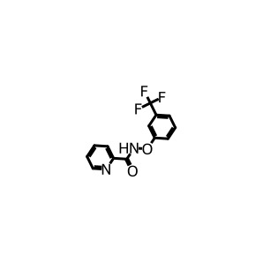 O=C(NOc1cccc(C(F)(F)F)c1)c1ccccn1